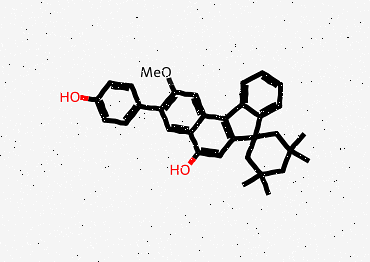 COc1cc2c3c(cc(O)c2cc1-c1ccc(O)cc1)C1(CC(C)(C)CC(C)(C)C1)c1ccccc1-3